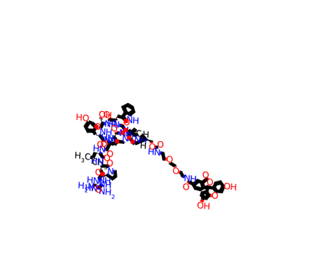 CC(C)C[C@H](NC(=O)[C@@H](CCCn1nnc2c1CC[C@H]1[C@@H](CC2)[C@H]1COC(=O)NCCOCCOCCNC(=O)c1ccc2c(c1)C(=O)OC21c2ccc(O)cc2Oc2cc(O)ccc21)NC(=O)[C@H](Cc1ccc(O)cc1)NC(=O)[C@H](CO)NC(=O)[C@H](Cc1c[nH]c2ccccc12)NC(=O)[C@H](Cc1c[nH]cn1)NC(=O)[C@@H]1CCC(=O)N1)C(=O)N[C@@H](CCCNC(=N)N)C(=O)N1CCC[C@H]1C(=O)NNC(N)=O